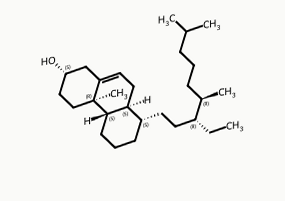 CC[C@H](CC[C@@H]1CCC[C@H]2[C@H]1CC=C1C[C@@H](O)CC[C@@]12C)[C@H](C)CCCC(C)C